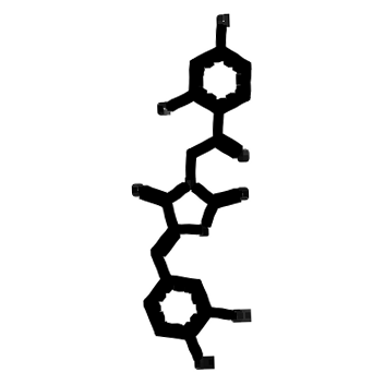 O=C(CN1C(=O)SC(=Cc2ccc(O)c(O)c2)C1=O)c1ccc(Cl)cc1Cl